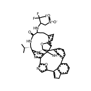 CC(C)[C@@H]1NC(=O)C(NC(C[N+](=O)[O-])C(F)(F)F)Cc2ccc3c(c2)C24c5cccc(c5N[C@H]2O3)-c2cccc3c2C(=CC3)c2cnc(o2)-c2nc1oc24